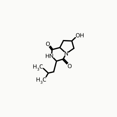 CC(C)CC1NC(=O)C2CC(O)CN2C1=O